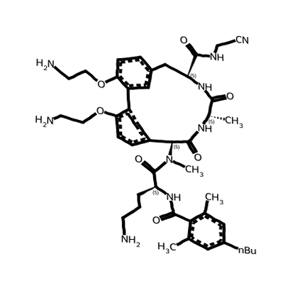 CCCCc1cc(C)c(C(=O)N[C@@H](CCCN)C(=O)N(C)[C@@H]2C(=O)N[C@@H](C)C(=O)N[C@H](C(=O)NCC#N)Cc3ccc(OCCN)c(c3)-c3cc2ccc3OCCN)c(C)c1